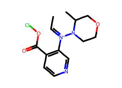 CC=[N+](c1cnccc1C(=O)OCl)N1CCOCC1C